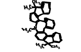 CN1c2ccc3c(c2-c2ccccc2-c2c1ccc1c2-c2ccccc2C1(C)C)-c1ccccc1C3(C)C